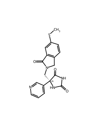 CSc1ccc2c(c1)C(=O)N(C[C@@]1(c3cccnc3)NC(=O)NC1=O)C2